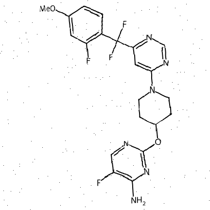 COc1ccc(C(F)(F)c2cc(N3CCC(Oc4ncc(F)c(N)n4)CC3)ncn2)c(F)c1